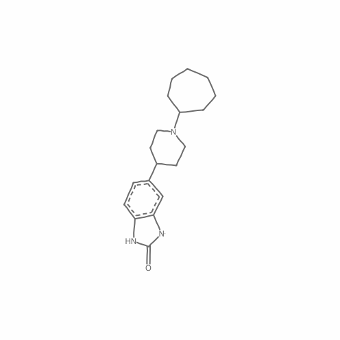 O=C1[N]c2cc(C3CCN(C4CCCCCC4)CC3)ccc2N1